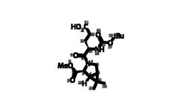 COC(=O)[C@@H]1[C@@H]2C(CN1C(=O)[C@H](CCC(=O)O)NC(=O)OC(C)(C)C)C2(C)C